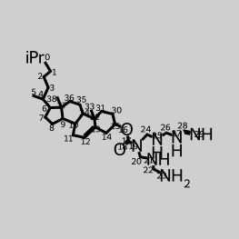 CC(C)CCCC(C)C1CCC2C3CC=C4CC(OC(=O)N(CNCN)CNCNC=N)CCC4(C)C3CCC12C